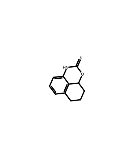 S=C1Nc2cccc3c2C(CCC3)O1